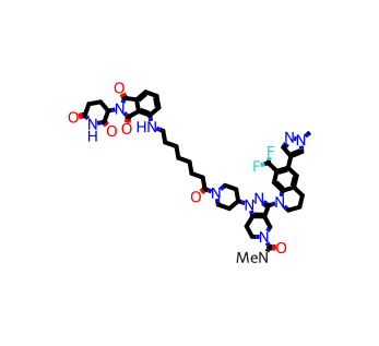 CNC(=O)N1CCc2c(c(N3CCCc4cc(-c5cnn(C)c5)c(C(F)F)cc43)nn2C2CCN(C(=O)CCCCCCCNc3cccc4c3C(=O)N(C3CCC(=O)NC3=O)C4=O)CC2)C1